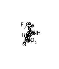 CC1(C)CCC(CN2CCN(c3ccc(C(=O)NS(=O)(=O)c4ccc(NCC5CCOCC5)c([N+](=O)[O-])c4)c(Oc4cnc5[nH]ccc5c4)c3)CC2)=C(c2cccc(C(F)(F)F)c2)C1